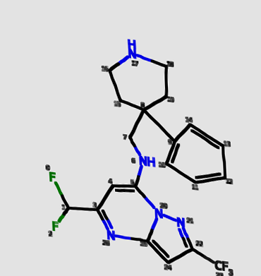 FC(F)c1cc(NCC2(c3ccccc3)CCNCC2)n2nc(C(F)(F)F)cc2n1